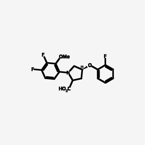 COc1c(N2C[C@H](Oc3ccccc3F)CC2C(=O)O)ccc(F)c1F